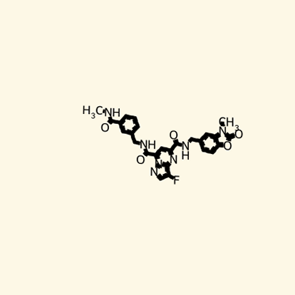 CNC(=O)c1cccc(CNC(=O)c2cc(C(=O)NCc3ccc4oc(=O)n(C)c4c3)nc3c(F)cnn23)c1